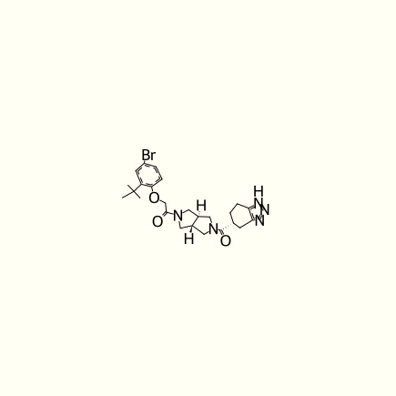 CC(C)(C)c1cc(Br)ccc1OCC(=O)N1C[C@H]2CN(C(=O)[C@@H]3CCc4[nH]nnc4C3)C[C@@H]2C1